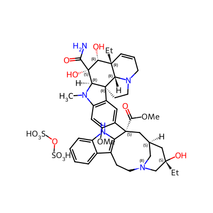 CC[C@]1(O)C[C@H]2C[N@](CCc3c([nH]c4ccccc34)[C@@](C(=O)OC)(c3cc4c(cc3OC)N(C)[C@H]3[C@@](O)(C(N)=O)[C@H](O)[C@]5(CC)C=CCN6CC[C@]43[C@@H]65)C2)C1.O=S(=O)(O)OS(=O)(=O)O